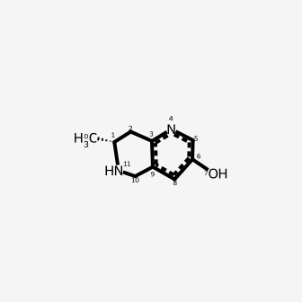 C[C@@H]1Cc2ncc(O)cc2CN1